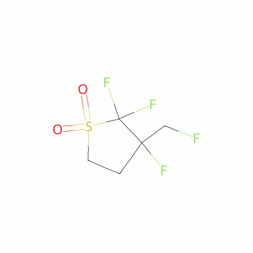 O=S1(=O)CCC(F)(CF)C1(F)F